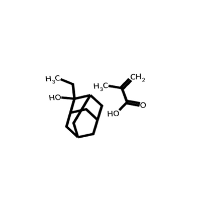 C=C(C)C(=O)O.CCC1(O)C2CC3CC(C2)CC1C3